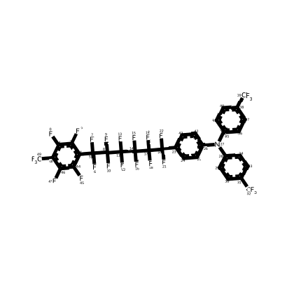 Fc1c(F)c(C(F)(F)C(F)(F)C(F)(F)C(F)(F)C(F)(F)C(F)(F)c2ccc(N(c3ccc(C(F)(F)F)cc3)c3ccc(C(F)(F)F)cc3)cc2)c(F)c(F)c1C(F)(F)F